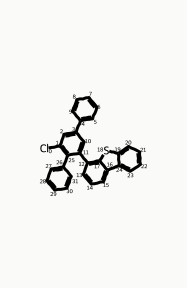 Clc1cc(-c2ccccc2)cc(-c2cccc3c2sc2ccccc23)c1-c1ccccc1